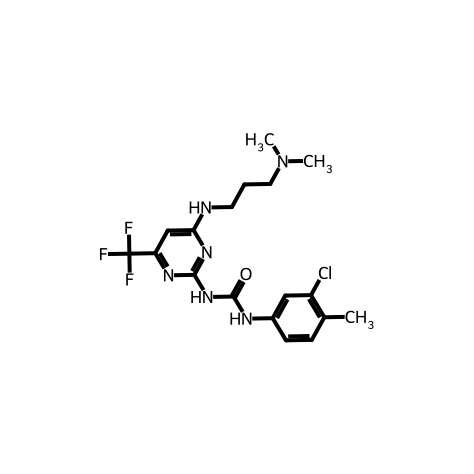 Cc1ccc(NC(=O)Nc2nc(NCCCN(C)C)cc(C(F)(F)F)n2)cc1Cl